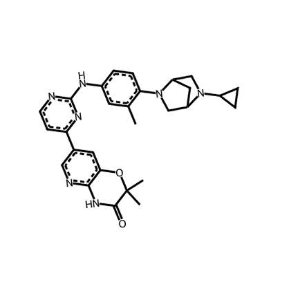 Cc1cc(Nc2nccc(-c3cnc4c(c3)OC(C)(C)C(=O)N4)n2)ccc1N1CC2CC1CN2C1CC1